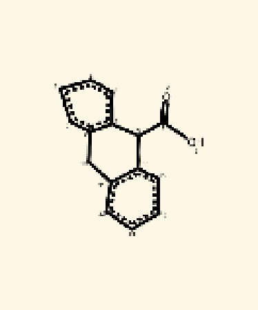 O=C(O)C1c2ccccc2Cc2ccccc21